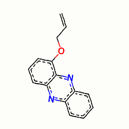 C=CCOc1cccc2nc3ccccc3nc12